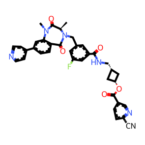 C[C@@H]1C(=O)N(C)c2cc(-c3ccncc3)ccc2C(=O)N1Cc1cc(F)cc(C(=O)NC[C@H]2C[C@@H](OC(=O)c3ccc(C#N)nc3)C2)c1